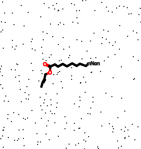 CC=CCOC(=O)CCCCCCCCCCCCCCCCC